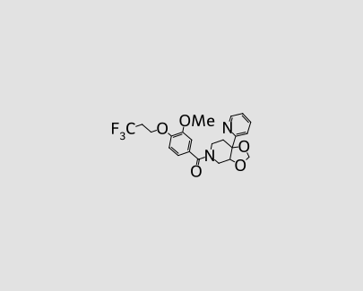 COc1cc(C(=O)N2CCC3(c4ccccn4)OCOC3C2)ccc1OCCC(F)(F)F